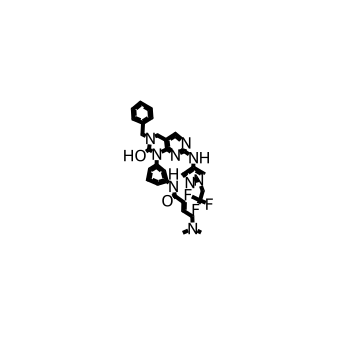 CN(C)C/C=C/C(=O)Nc1cccc(N2c3nc(Nc4cnn(CC(F)(F)F)c4)ncc3CN(Cc3ccccc3)C2O)c1